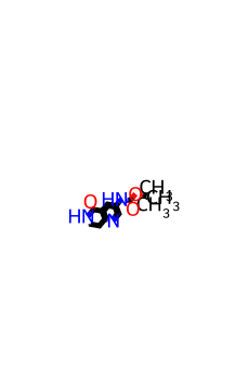 CC(C)(C)OC(=O)Nc1cnc2c(c1)C(=O)NCC2